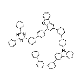 c1ccc(-c2cccc(-c3cccc(-c4ccc5c(c4)c4ccccc4n5-c4ccc(-c5cccc(-c6cc(-c7ccc(-c8cccc(-c9nc(-c%10ccccc%10)nc(-c%10ccccc%10)n9)c8)cc7)c7oc8ccccc8c7c6)c5)cc4)c3)c2)cc1